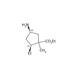 CCOC(=O)C1(C)C[C@H](N)C[C@@H]1CC